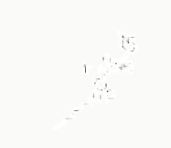 CCCCCCCCCCOc1ccc(OCC(=O)NCCc2ccc[n+](C)c2)cc1OC.[I-]